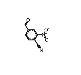 N#Cc1ccc(C=O)cc1[N+](=O)[O-]